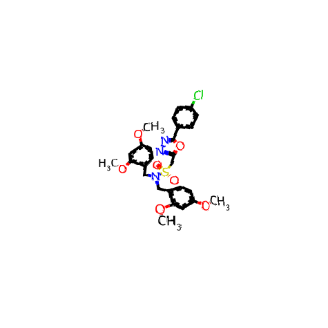 COc1ccc(CN(Cc2ccc(OC)cc2OC)S(=O)(=O)Cc2nnc(-c3ccc(Cl)cc3)o2)c(OC)c1